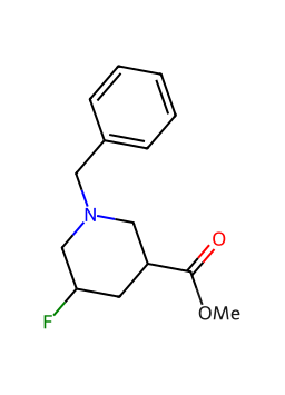 COC(=O)C1CC(F)CN(Cc2ccccc2)C1